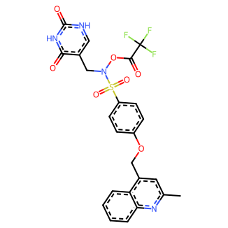 Cc1cc(COc2ccc(S(=O)(=O)N(Cc3c[nH]c(=O)[nH]c3=O)OC(=O)C(F)(F)F)cc2)c2ccccc2n1